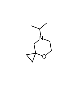 CC(C)N1CCOC2(CC2)C1